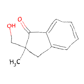 CC1(CO)Cc2ccccc2C1=O